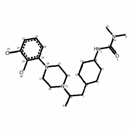 CC(CC1CCC(NC(=O)N(C)C)CC1)N1CCN(c2cccc(Cl)c2Cl)CC1